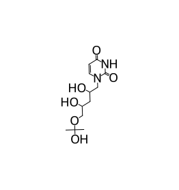 CC(C)(O)OCC(O)CC(O)Cn1ccc(=O)[nH]c1=O